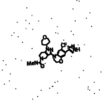 CNC(=O)N1CCc2c(c(N3CCOc4cc(-c5cn[nH]c5)c(C(F)(F)F)cc43)nn2C2CCOCC2)C1